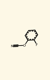 N#COc1ccccc1F